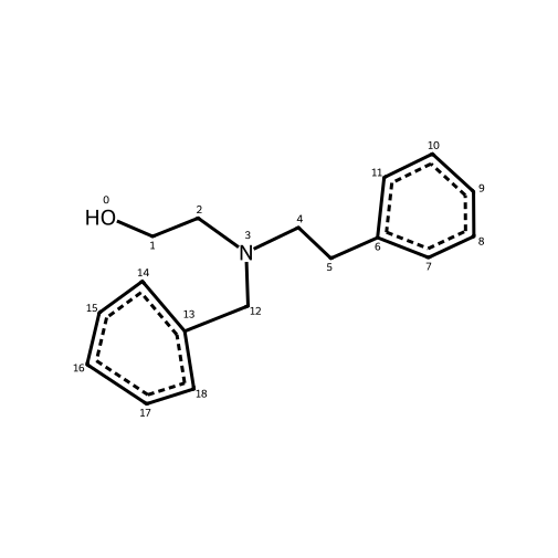 OCCN(CCc1ccccc1)Cc1ccccc1